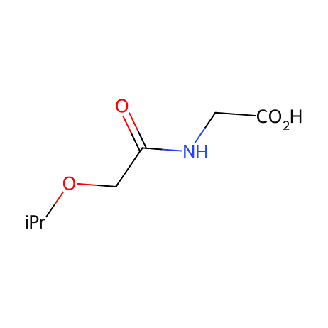 CC(C)OCC(=O)NCC(=O)O